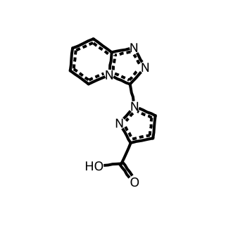 O=C(O)c1ccn(-c2nnc3ccccn23)n1